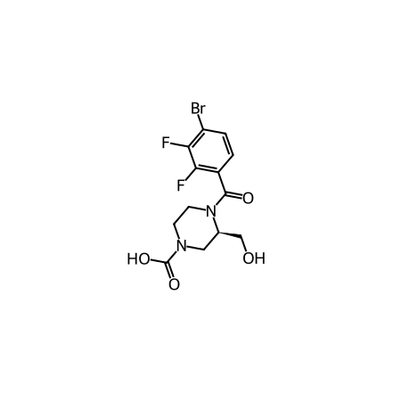 O=C(O)N1CCN(C(=O)c2ccc(Br)c(F)c2F)[C@@H](CO)C1